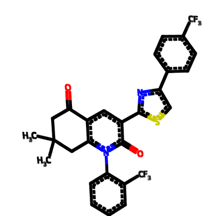 CC1(C)CC(=O)c2cc(-c3nc(-c4ccc(C(F)(F)F)cc4)cs3)c(=O)n(-c3ccccc3C(F)(F)F)c2C1